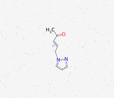 CC(=O)/C=C/Cn1cccn1